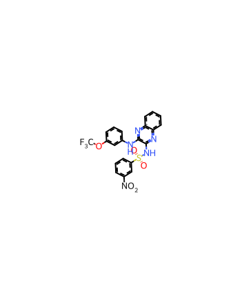 O=[N+]([O-])c1cccc(S(=O)(=O)Nc2nc3ccccc3nc2Nc2cccc(OC(F)(F)F)c2)c1